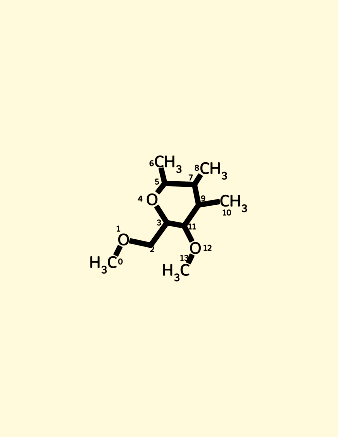 COCC1OC(C)C(C)C(C)C1OC